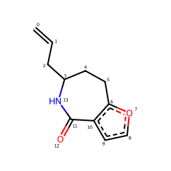 C=CCC1CCc2occc2C(=O)N1